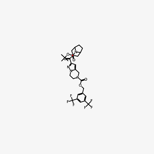 CC(C)(C)OC(=O)N1C2CCC1CN(C(=O)c1cc3n(n1)CCN(C(=O)OCc1cc(C(F)(F)F)cc(C(F)(F)F)c1)C3)C2